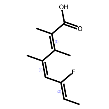 C/C=C(F)/C=C(C)\C(C)=C(/C)C(=O)O